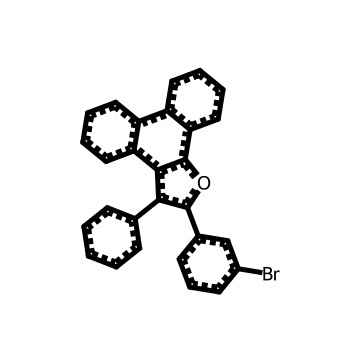 Brc1cccc(-c2oc3c4ccccc4c4ccccc4c3c2-c2ccccc2)c1